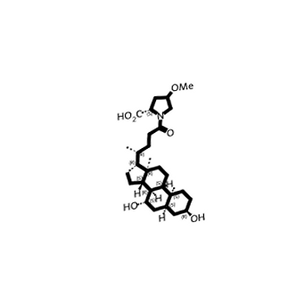 COC1C[C@@H](C(=O)O)N(C(=O)CC[C@@H](C)[C@H]2CC[C@H]3[C@@H]4[C@@H](O)C[C@@H]5C[C@H](O)CC[C@]5(C)[C@H]4CC[C@]23C)C1